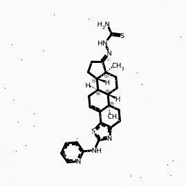 C[C@]12CCc3nc(Nc4ccccn4)sc3C1=CC[C@@H]1[C@@H]2CC[C@]2(C)/C(=N/NC(N)=S)CC[C@@H]12